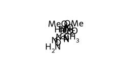 COc1cc(NC(=O)c2cc(=O)c3ccccc3o2)c(C(=O)Nc2ccc(CCN(Cc3cncc(OCCN)c3)Cc3ccc4c(cnn4C)c3)cc2)cc1OC